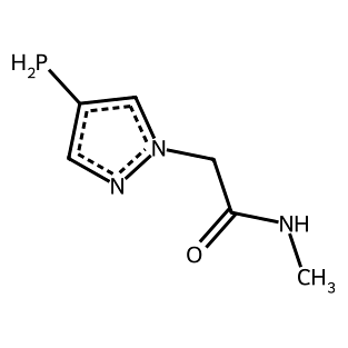 CNC(=O)Cn1cc(P)cn1